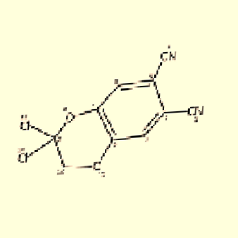 N#Cc1cc2c(cc1C#N)OC(Cl)(Cl)CO2